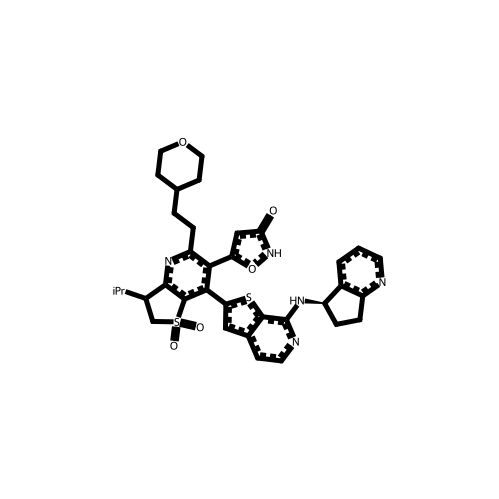 CC(C)C1CS(=O)(=O)c2c1nc(CCC1CCOCC1)c(-c1cc(=O)[nH]o1)c2-c1cc2ccnc(N[C@@H]3CCc4ncccc43)c2s1